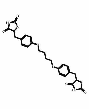 O=C1NC(=O)C(Cc2ccc(OCCCCSc3ccc(CC4SC(=O)NC4=O)cc3)cc2)S1